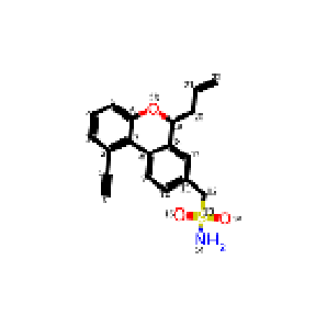 C#Cc1cccc2c1-c1ccc(CS(N)(=O)=O)cc1C(CC=C)O2